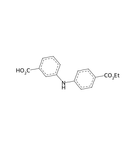 CCOC(=O)c1ccc(Nc2cccc(C(=O)O)c2)cc1